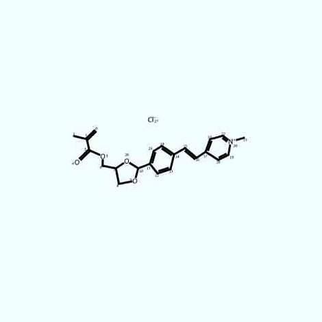 C=C(C)C(=O)OCC1COC(c2ccc(C=Cc3cc[n+](C)cc3)cc2)O1.[Cl-]